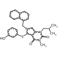 CC(C)Cn1c(=O)n(C)c(=O)c2c(Sc3cccc(O)c3)n(Cc3cccc4ccccc34)cc21